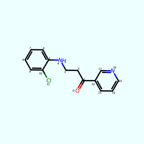 O=C(CCNc1ccccc1Cl)c1cccnc1